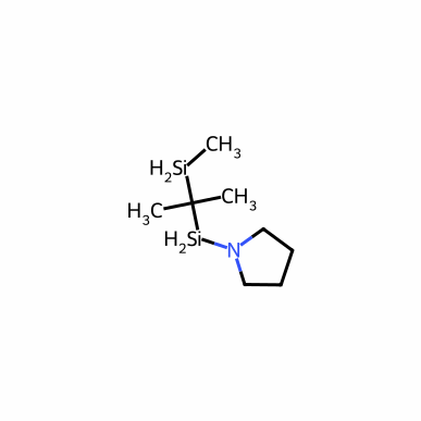 C[SiH2]C(C)(C)[SiH2]N1CCCC1